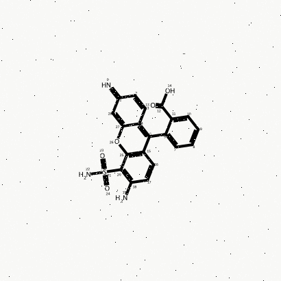 N=c1ccc2c(-c3ccccc3C(=O)O)c3ccc(N)c(S(N)(=O)=O)c3oc-2c1